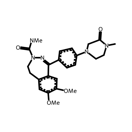 CNC(=O)N1CCc2cc(OC)c(OC)cc2C(c2ccc(N3CCN(C)C(=O)C3)cc2)=N1